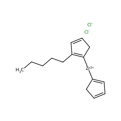 CCCCCC1=[C]([Zr+2][C]2=CC=CC2)CC=C1.[Cl-].[Cl-]